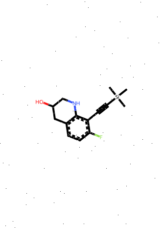 C[Si](C)(C)C#Cc1c(F)ccc2c1NCC(O)C2